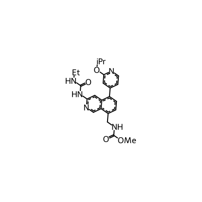 CCNC(=O)Nc1cc2c(-c3ccnc(OC(C)C)c3)ccc(CNC(=O)OC)c2cn1